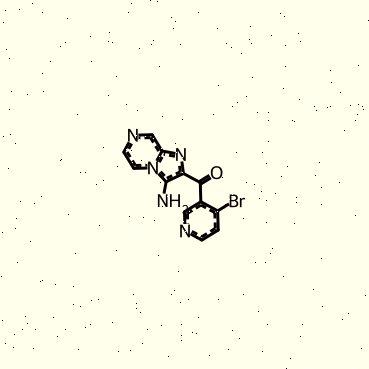 Nc1c(C(=O)c2cnccc2Br)nc2cnccn12